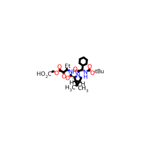 CCC(NC(=O)[C@@H]1[C@@H]2[C@H](CN1C(=O)[C@@H](NC(=O)OC(C)(C)C)C1CCCCC1)C2(C)C)C(=O)C(=O)OCC(=O)O